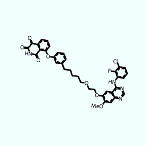 COc1cc2ncnc(Nc3cccc(Cl)c3F)c2cc1OCCOCCCCCc1cccc(Oc2cccc3c2C(=O)NC(=O)C3=O)c1